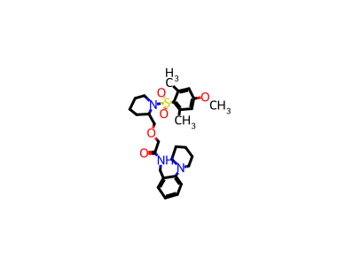 COc1cc(C)c(S(=O)(=O)N2CCCCC2COCC(=O)NCc2ccccc2N2CCCCC2)c(C)c1